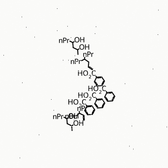 C=CC(CCC)CCCC.C=CCC(CCC)CCC.CCCC(O)CC(C)O.CCCC(O)CC(C)O.O=C(O)c1ccccc1.O=C(O)c1ccccc1.O=C(O)c1ccccc1.O=C(O)c1ccccc1